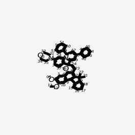 COc1cc2c3c(c4c(c2cc1OC)-c1ccccc1C4(C)C)C=CC(c1ccc(N2CCOCC2)cc1)(c1cc(-c2ccccc2)cc(-c2ccccc2)n1)O3